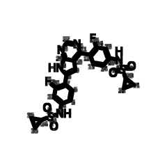 O=S(=O)(Nc1ccc(-c2cc3c(-c4ccc(NS(=O)(=O)C5CC5)cc4F)ncnc3[nH]2)c(F)c1)C1CC1